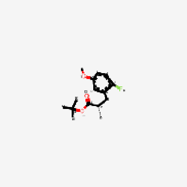 COc1ccc(F)c(C[C@H](C)C(=O)OC(C)(C)C)c1